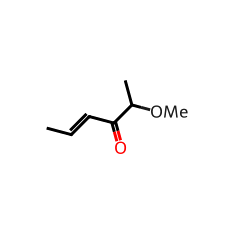 CC=CC(=O)C(C)OC